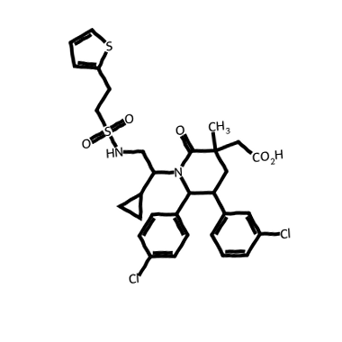 CC1(CC(=O)O)CC(c2cccc(Cl)c2)C(c2ccc(Cl)cc2)N(C(CNS(=O)(=O)CCc2cccs2)C2CC2)C1=O